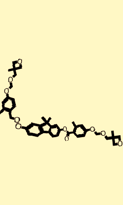 Cc1cc(OCOCC2(C)COC2)ccc1COOc1ccc2c(c1)C(C)(C)c1cc(OC(=O)c3ccc(OCOCC4(C)COC4)cc3C)ccc1-2